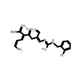 C=C/C(=C\N=C(/C)NCc1ccccc1CC)CC(=C)/C(=C/C=C\N)C(=C)NC